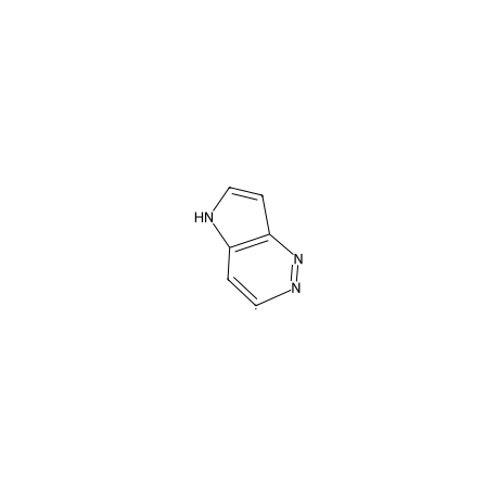 [c]1cc2[nH]ccc2nn1